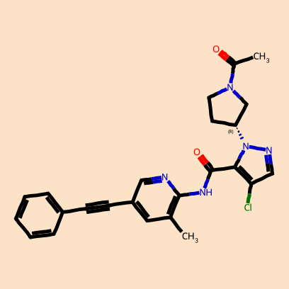 CC(=O)N1CC[C@@H](n2ncc(Cl)c2C(=O)Nc2ncc(C#Cc3ccccc3)cc2C)C1